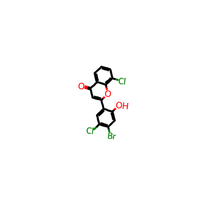 O=c1cc(-c2cc(Cl)c(Br)cc2O)oc2c(Cl)cccc12